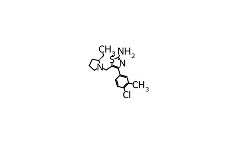 CC[C@@H]1CCCN1Cc1sc(N)nc1-c1ccc(Cl)c(C)c1